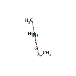 CCCCC/C=C\C/C=C\CCCCCCCC(=O)CCCCCCCCCCCCCCC(=O)NC[C@@H](O)CCCCCCCCCCCCCCCC